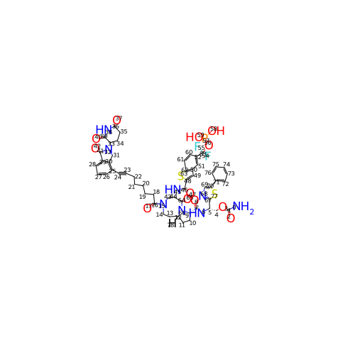 NC(=O)OC[C@H](NC(=O)[C@@H]1CC[C@@H]2CCN(C(=O)CCCCCC#Cc3cccc4c3CN(C3CCC(=O)NC3=O)C4=O)C[C@H](NC(=O)c3cc4cc(C(F)(F)OP(O)O)ccc4s3)C(=O)N21)c1ncc(-c2ccccc2)s1